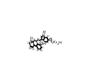 O=C(O)Oc1ccc2c(CCCCC3NCC=CC3c3cccc(O)c3)c[nH]c2c1